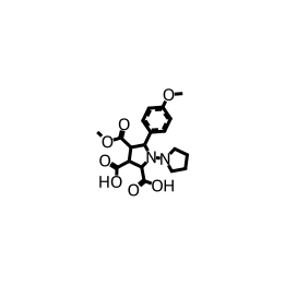 COC(=O)C1C(C(=O)O)C(C(=O)O)N(N2CCCC2)C1c1ccc(OC)cc1